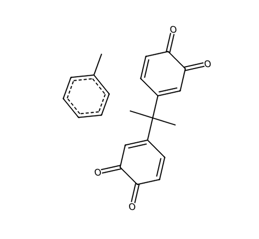 CC(C)(C1=CC(=O)C(=O)C=C1)C1=CC(=O)C(=O)C=C1.Cc1ccccc1